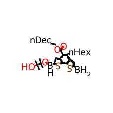 Bc1cc2c(CCCCCC)c(C(=O)OCCCCCCCCCCCC)c3cc(BOC(C)(C)C(C)(C)O)sc3c2s1